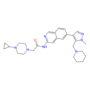 Cn1ncc(-c2ccc3cnc(NC(=O)CN4CCN(C5CC5)CC4)cc3c2)c1CN1CCCCC1